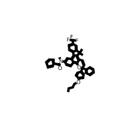 CCCCOc1ccc(C2(c3ccccc3)C=Cc3c4c(c5cc(N(C)C(=O)c6ccccc6)ccc5c3O2)-c2ccc(C(F)(F)F)cc2C4(C)C)cc1